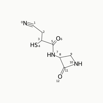 N#CCC(S)C(=O)NC1CNC1=O